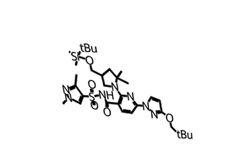 Cc1nn(C)cc1S(=O)(=O)NC(=O)c1ccc(-n2ccc(OCC(C)(C)C)n2)nc1N1CC(CO[Si](C)(C)C(C)(C)C)CC1(C)C